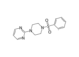 O=S(=O)(c1[c]cccc1)N1CCN(c2ncccn2)CC1